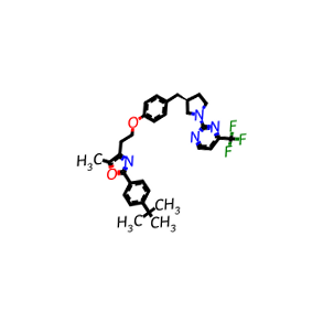 Cc1oc(-c2ccc(C(C)(C)C)cc2)nc1CCOc1ccc(C[C@H]2CCN(c3nccc(C(F)(F)F)n3)C2)cc1